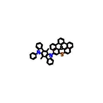 Cc1c2c3ccccc3n(-c3ccc4c(c3)Sc3ccccc3B4c3c(-c4ccccc4)cccc3-c3ccccc3)c2c(C)c2c3ccccc3n(-c3ccccc3)c12